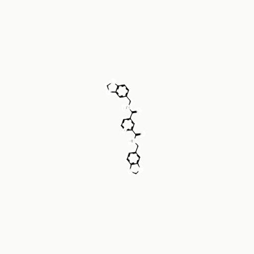 O=C(NCc1ccc2c(c1)OCO2)c1ccnc(C(=O)NCc2ccc3c(c2)OCO3)c1